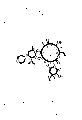 CC[C@H]1OC(=O)[C@H](C)[C@@H](O[C@H]2C[C@@](C)(OC)[C@@H](O)[C@H](C)O2)[C@H](C)[C@@H](O[C@@H]2O[C@H](C)C[C@@H](N3CCOCC3)[C@@H]2N(C)C)[C@@](C)(OC)C[C@@H](C)C(=O)[C@H](C)[C@@H](O)[C@H]1C